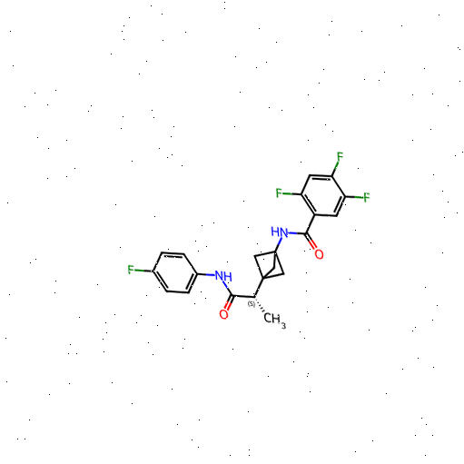 C[C@H](C(=O)Nc1ccc(F)cc1)C12CC(NC(=O)c3cc(F)c(F)cc3F)(C1)C2